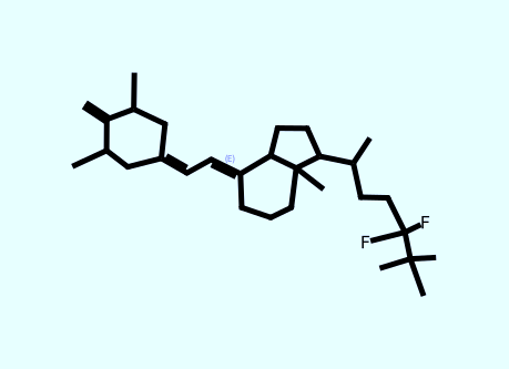 C=C1C(C)CC(=C/C=C2\CCCC3(C)C2CCC3C(C)CCC(F)(F)C(C)(C)C)CC1C